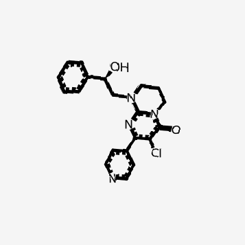 O=c1c(Cl)c(-c2ccncc2)nc2n1CCCN2C[C@H](O)c1ccccc1